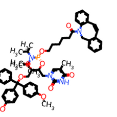 COc1ccc(C(OCC(OC)C(Cn2cc(C)c(=O)[nH]c2=O)OP(OCCCCCC(=O)N2Cc3ccccc3C#Cc3ccccc32)N(C(C)C)C(C)C)(c2ccccc2)c2ccc(OC)cc2)cc1